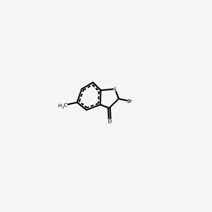 Cc1ccc2c(c1)C(=O)C(Br)S2